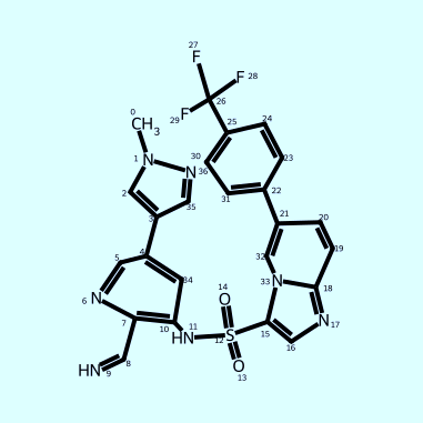 Cn1cc(-c2cnc(C=N)c(NS(=O)(=O)c3cnc4ccc(-c5ccc(C(F)(F)F)cc5)cn34)c2)cn1